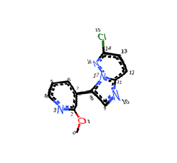 COc1ncccc1-c1cnc2ccc(Cl)nn12